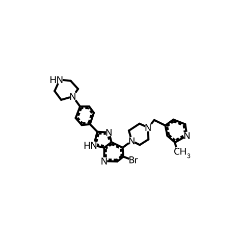 Cc1cc(CN2CCN(c3c(Br)cnc4[nH]c(-c5ccc(N6CCNCC6)cc5)nc34)CC2)ccn1